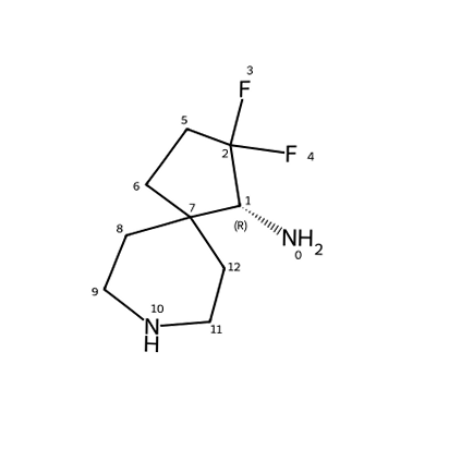 N[C@H]1C(F)(F)CCC12CCNCC2